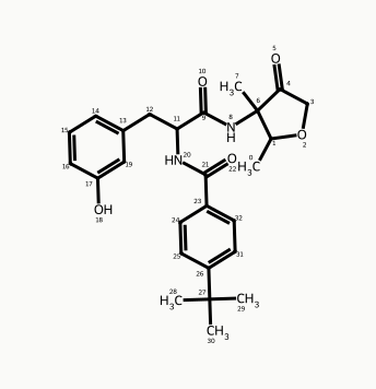 CC1OCC(=O)C1(C)NC(=O)C(Cc1cccc(O)c1)NC(=O)c1ccc(C(C)(C)C)cc1